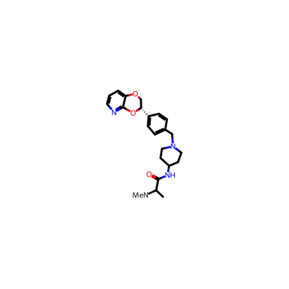 CNC(C)C(=O)NC1CCN(Cc2ccc([C@H]3COc4cccnc4O3)cc2)CC1